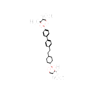 CCCCCCCC[C@@H]1CO[C@@H](c2ccc(-c3ccc(CCC4CCC([C@@H]5OC[C@@H](CCCCCCCC)[C@H](C)O5)CC4)cc3)cc2)OC1C